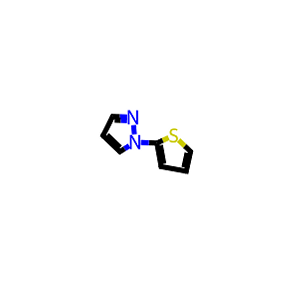 c1csc(-n2cccn2)c1